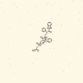 O=C(O)CCC(=O)NCC(C(=O)NCCC(C(=O)c1nc2ccccc2o1)c1ccccc1)S(=O)(=O)Cc1ccccc1